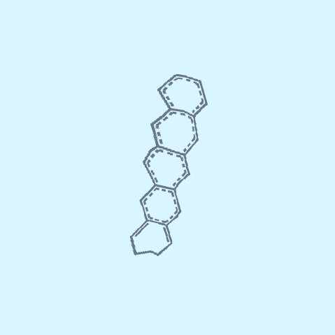 C1=c2cc3cc4cc5ccccc5cc4cc3cc2=CCC1